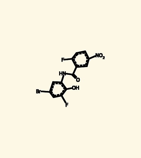 O=C(Nc1cc(Br)cc(F)c1O)c1cc([N+](=O)[O-])ccc1F